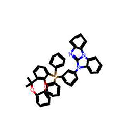 CC1(C)Oc2ccccc2Oc2c1cccc2S(c1ccccc1)(c1ccccc1)c1cccc(-n2c3ccccc3n3c4ccccc4nc23)c1